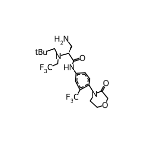 CC(C)(C)CN(CC(F)(F)F)[C@@H](CN)C(=O)Nc1ccc(N2CCOCC2=O)c(C(F)(F)F)c1